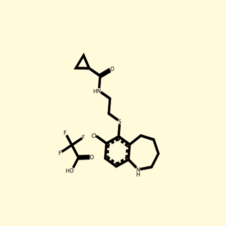 O=C(NCCSc1c(Cl)ccc2c1CCCCN2)C1CC1.O=C(O)C(F)(F)F